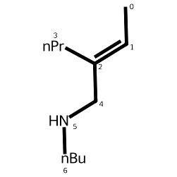 C/C=C(\CCC)CNCCCC